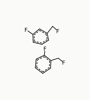 FCc1cccc(F)c1.FCc1ccccc1F